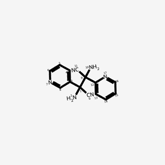 N#CC(N)(c1cccnc1)C(N)(C#N)c1ccccn1